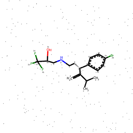 C=C(C(C)C)[C@H](CCNCC(O)C(F)(F)F)c1ccc(Br)cc1